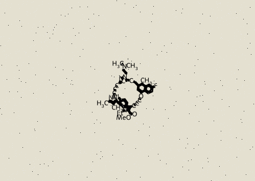 CCn1c(C(=O)OC)c2c3ccc(Cl)c(c31)-c1c(C)c(C)nn1CCCc1cc(n(CCN(C)C)n1)CCC1C=C(OCCC2)c2ccc(F)cc2C1C